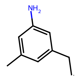 [CH2]Cc1cc(C)cc(N)c1